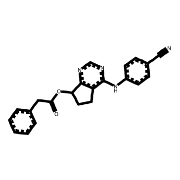 N#Cc1ccc(Nc2ncnc3c2CCC3OC(=O)Cc2ccccc2)cc1